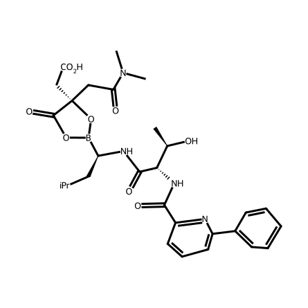 CC(C)C[C@H](NC(=O)[C@@H](NC(=O)c1cccc(-c2ccccc2)n1)[C@@H](C)O)B1OC(=O)[C@@](CC(=O)O)(CC(=O)N(C)C)O1